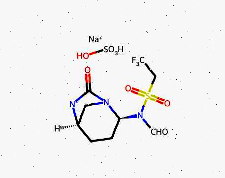 O=CN([C@H]1CC[C@@H]2CN1C(=O)[N-]2)S(=O)(=O)CC(F)(F)F.O=S(=O)(O)O.[Na+]